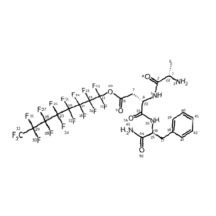 C[C@H](N)C(=O)N[C@@H](CC(=O)OC(F)(F)C(F)(F)C(F)(F)C(F)(F)C(F)(F)C(F)(F)C(F)(F)C(F)(F)F)C(=O)N[C@@H](Cc1ccccc1)C(N)=O